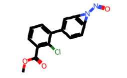 COC(=O)c1cccc(-c2ccc3c(c2)N3N=O)c1Cl